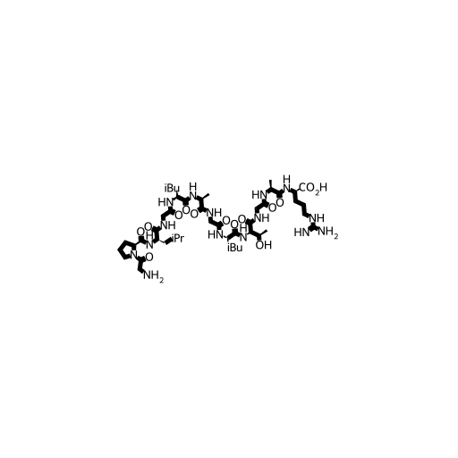 CC[C@H](C)[C@H](NC(=O)CNC(=O)[C@H](CC(C)C)NC(=O)[C@@H]1CCCN1C(=O)CN)C(=O)N[C@@H](C)C(=O)NCC(=O)N[C@H](C(=O)N[C@H](C(=O)NCC(=O)N[C@@H](C)C(=O)N[C@@H](CCCNC(=N)N)C(=O)O)[C@@H](C)O)[C@@H](C)CC